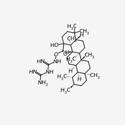 C[C@@H]1[C@H]2[C@H]3CC[C@@H]4[C@]5(C)[C@@H](CC[C@@]4(C)[C@]3(C)CC[C@@]2(C)CC[C@H]1C)C(C)(C)CCC5(O)C(=O)ONC(=N)NC(=N)N